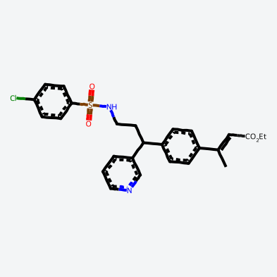 CCOC(=O)C=C(C)c1ccc(C(CCNS(=O)(=O)c2ccc(Cl)cc2)c2cccnc2)cc1